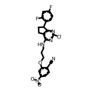 N#Cc1ccc([N+](=O)[O-])cc1OCCCNc1nc(Cl)nc2c1CCC2c1ccc(F)cc1F